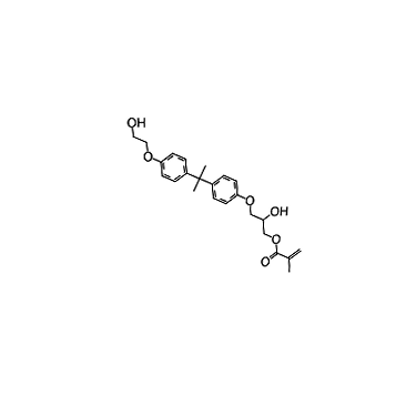 C=C(C)C(=O)OCC(O)COc1ccc(C(C)(C)c2ccc(OCCO)cc2)cc1